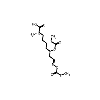 CSC(=O)ON=CCN(CCCC[C@H](N)C(=O)O)OC(=O)SC